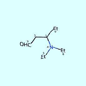 CCC(CC=O)N(CC)CC